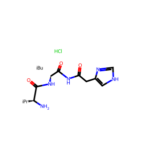 CC[C@H](C)[C@H](NC(=O)[C@@H](N)C(C)C)C(=O)NC(=O)Cc1c[nH]cn1.Cl